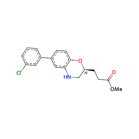 COC(=O)CC[C@H]1CNc2cc(-c3cccc(Cl)c3)ccc2O1